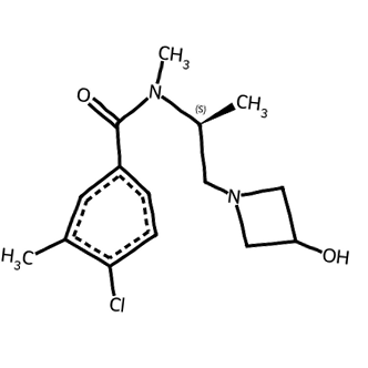 Cc1cc(C(=O)N(C)[C@@H](C)CN2CC(O)C2)ccc1Cl